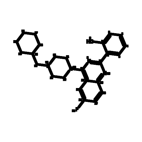 Oc1ccccc1-c1nc(N2CCN(CC3CCCCC3)CC2)c2cc(F)ccc2n1